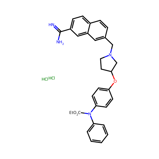 CCOC(=O)N(c1ccccc1)c1ccc(OC2CCN(Cc3ccc4ccc(C(=N)N)cc4c3)C2)cc1.Cl.Cl